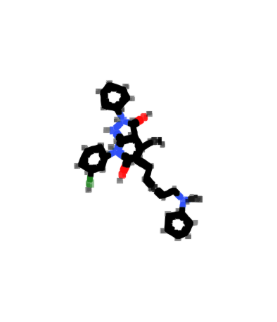 CC(=O)N(CC=C=CC=c1c(C)c2c(n(-c3cccc(Cl)c3)c1=O)=NN(c1ccccc1)C2=O)c1ccccc1